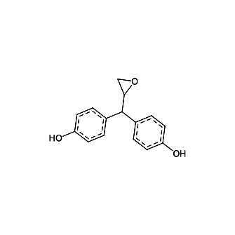 Oc1ccc(C(c2ccc(O)cc2)C2CO2)cc1